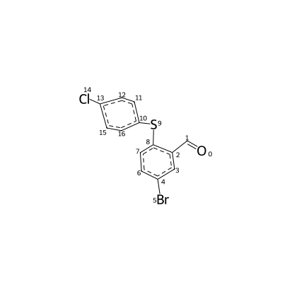 O=Cc1cc(Br)ccc1Sc1ccc(Cl)cc1